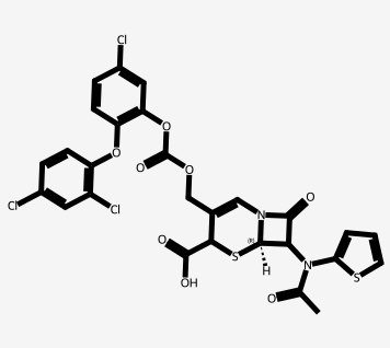 CC(=O)N(c1cccs1)C1C(=O)N2C=C(COC(=O)Oc3cc(Cl)ccc3Oc3ccc(Cl)cc3Cl)C(C(=O)O)S[C@H]12